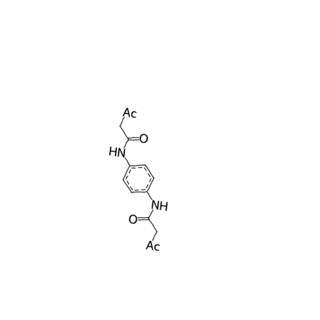 CC(=O)CC(=O)Nc1ccc(NC(=O)CC(C)=O)cc1